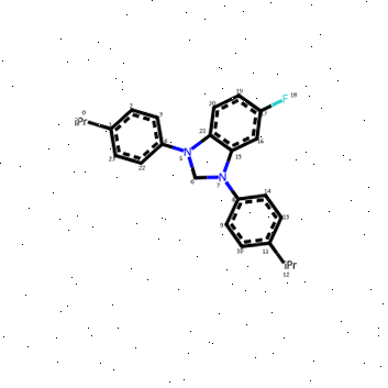 CC(C)c1ccc(N2CN(c3ccc(C(C)C)cc3)c3cc(F)ccc32)cc1